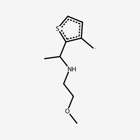 [CH2]c1ccsc1C(C)NCCOC